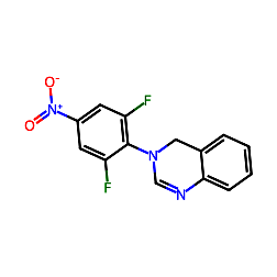 O=[N+]([O-])c1cc(F)c(N2C=Nc3ccccc3C2)c(F)c1